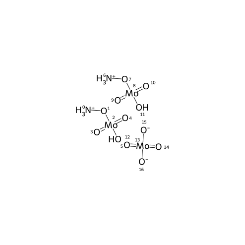 [NH3+][O][Mo](=[O])(=[O])[OH].[NH3+][O][Mo](=[O])(=[O])[OH].[O]=[Mo](=[O])([O-])[O-]